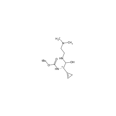 CN(C)CCNC(O)[C@@H](NC(=O)OC(C)(C)C)C1=CC1